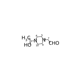 CC(O)N1CCN(CC=O)CC1